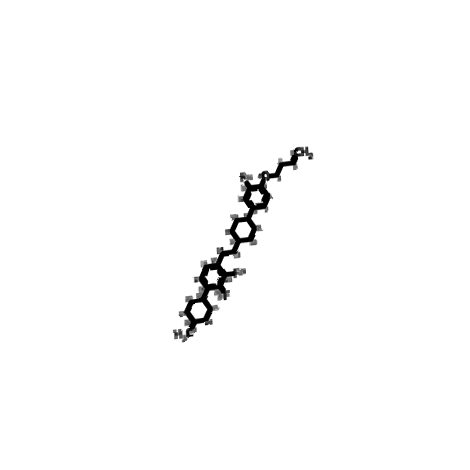 C=CCCOc1ccc(C2CCC(CCc3ccc(C4CCC(C)CC4)c(F)c3F)CC2)cc1F